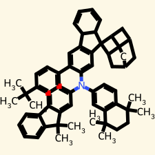 CC(C)(C)c1ccc(-c2cc3c(cc2N(c2ccc4c(c2)C(C)(C)CCC4(C)C)c2ccc4c(c2)C(C)(C)c2ccccc2-4)C2(C4C=CC=CC34)C3CC4CC5CC2C53C4)cc1